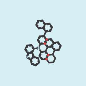 c1ccc(N(c2ccc(-c3cccc4ccccc34)cc2)c2cccc3sc4ccccc4c23)c(-c2cccc3cccc(C4CCCCC4)c23)c1